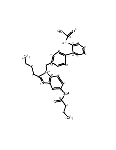 CCCCc1nc2cc(NC(=O)CCC)ccc2n1Cc1ccc(-c2ccccc2OC(=O)O)cc1